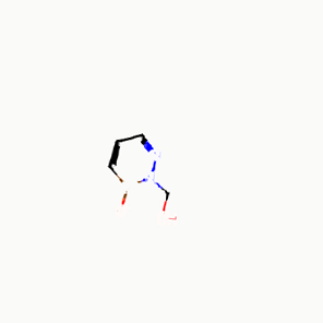 [O-][S+]1C=CC=NN1CO